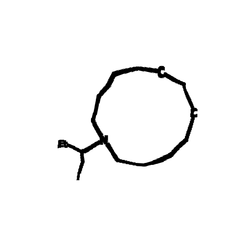 CCC(I)N1CCCCCCCCCCC1